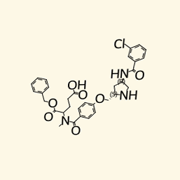 CN(C(=O)c1ccc(OC[C@@H]2C[C@@H](NC(=O)c3cccc(Cl)c3)CN2)cc1)C(CCC(=O)O)C(=O)OCc1ccccc1